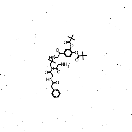 CC(C)(CN(C(=O)CN)C(=O)CNC(=O)Cc1ccccc1)NCC(O)c1ccc(OC(=O)C(C)(C)C)c(OC(=O)C(C)(C)C)c1